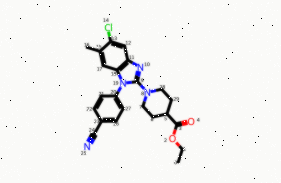 CCOC(=O)C1CCN(c2nc3cc(Cl)c(C)cc3n2-c2ccc(C#N)cc2)CC1